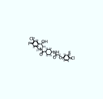 O=C(COc1ccc(Cl)c(F)c1)N[C@H]1CC[C@H](C(=O)N(CCO)Cc2ccc(Cl)c(F)c2)CC1